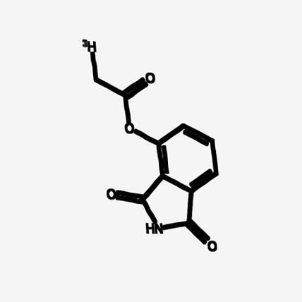 [3H]CC(=O)Oc1cccc2c1C(=O)NC2=O